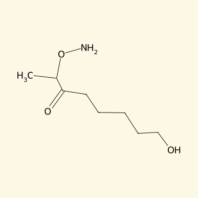 CC(ON)C(=O)CCCCCO